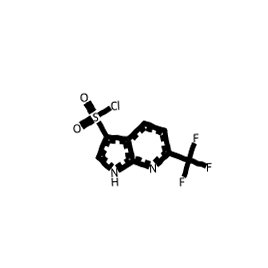 O=S(=O)(Cl)c1c[nH]c2nc(C(F)(F)F)ccc12